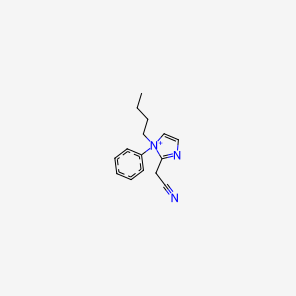 CCCC[N+]1(c2ccccc2)C=CN=C1CC#N